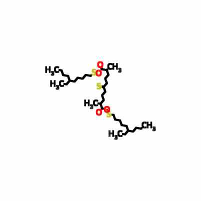 CCCCC(CC)CCCCCSOC(=O)C(C)CCCC(=S)CCCC(C)C(=O)OSCCCCCC(CC)CCCC